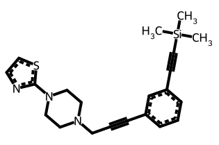 C[Si](C)(C)C#Cc1cccc(C#CCN2CCN(c3nccs3)CC2)c1